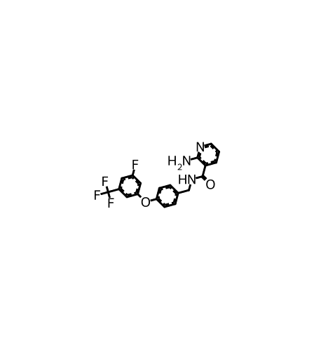 Nc1ncccc1C(=O)NCc1ccc(Oc2cc(F)cc(C(F)(F)F)c2)cc1